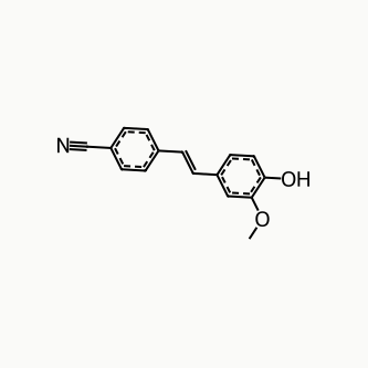 COc1cc(C=Cc2ccc(C#N)cc2)ccc1O